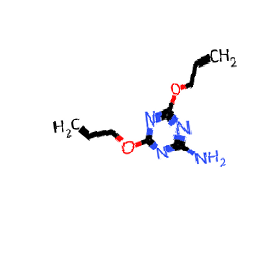 C=CCOc1nc(N)nc(OCC=C)n1